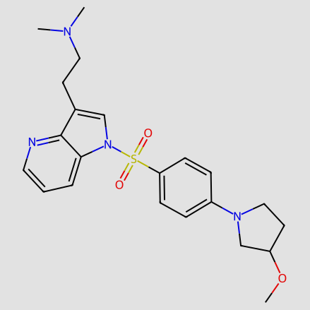 COC1CCN(c2ccc(S(=O)(=O)n3cc(CCN(C)C)c4ncccc43)cc2)C1